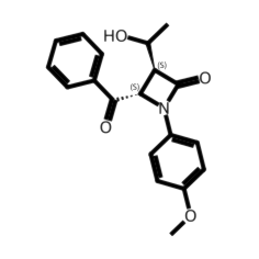 COc1ccc(N2C(=O)[C@H](C(C)O)[C@H]2C(=O)c2ccccc2)cc1